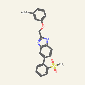 CC(=O)Nc1cccc(OCc2nc3cc(-c4ccccc4S(C)(=O)=O)ccc3[nH]2)c1